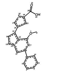 COc1nc(-c2ccccc2)cn2ncc(-c3csc(C(=O)O)c3)c12